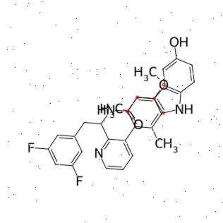 COc1cc(C)c(-c2cccnc2C(Cc2cc(F)cc(F)c2)NC(=O)Cc2c[nH]c3ccc(O)cc23)c(C)c1